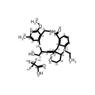 CCN(c1cccc2c1C/C=C\C(CO)Cc1cc(C)nc(OC)c1CNC2=O)C1CCOCC1.O=C(O)C(F)(F)F